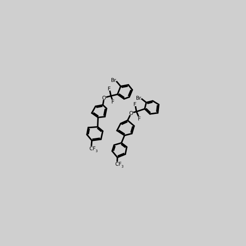 FC(F)(F)c1ccc(-c2ccc(OC(F)(F)c3ccccc3Br)cc2)cc1.FC(F)(F)c1ccc(-c2ccc(OC(F)(F)c3ccccc3Br)cc2)cc1